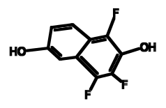 Oc1ccc2c(F)c(O)c(F)c(F)c2c1